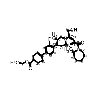 CCOC(=O)C1CC=C(c2ccc(C3CC4N=C(C(=O)N5CCCCC[C@H]5C)C=C(CC)N4CC3C)c(F)c2)CC1